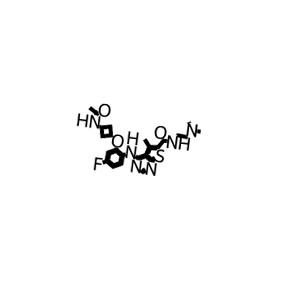 CC(=O)N[C@H]1C[C@H](Oc2cc(F)ccc2Nc2ncnc3sc(C(=O)NCCN(C)C)c(C)c23)C1